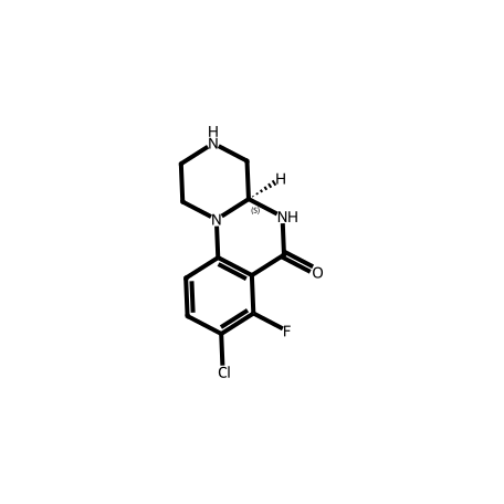 O=C1N[C@@H]2CNCCN2c2ccc(Cl)c(F)c21